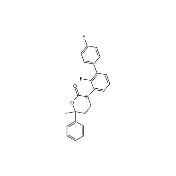 CC1(c2ccccc2)CCN(c2cccc(-c3ccc(F)cc3)c2F)C(=O)O1